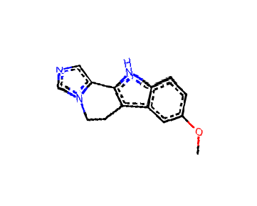 COc1ccc2[nH]c3c(c2c1)CCn1cncc1-3